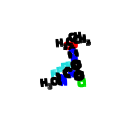 Cc1cnn(C2CN(c3cc(Cl)ccc3-c3ccc(N4CCN(C(=O)OC(C)(C)C)CC4)cc3)CC(F)(F)C2)c1C(F)F